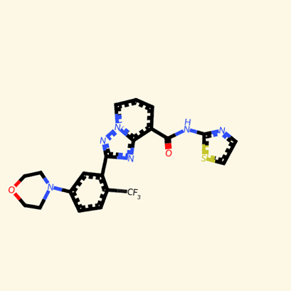 O=C(Nc1nccs1)c1cccn2nc(-c3cc(N4CCOCC4)ccc3C(F)(F)F)nc12